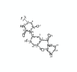 O=C(c1cc(-n2c(=O)cc(C(F)(F)F)[nH]c2=O)c(F)cc1Cl)n1ccnc1